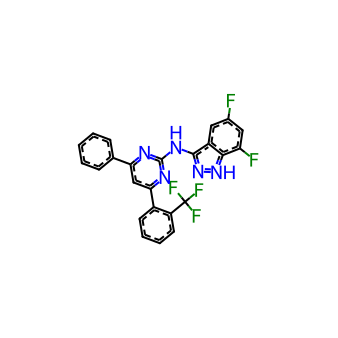 Fc1cc(F)c2[nH]nc(Nc3nc(-c4ccccc4)cc(-c4ccccc4C(F)(F)F)n3)c2c1